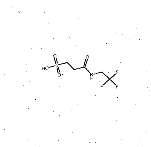 O=C(CCS(=O)(=O)O)NCC(F)(F)F